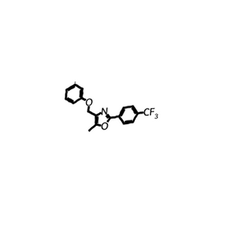 Cc1oc(-c2ccc(C(F)(F)F)cc2)nc1COc1c[c]ccc1